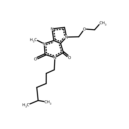 CCOCn1cnc2c1c(=O)n(CCCCC(C)C)c(=O)n2C